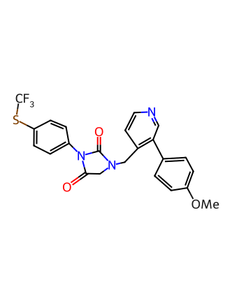 COc1ccc(-c2cnccc2CN2CC(=O)N(c3ccc(SC(F)(F)F)cc3)C2=O)cc1